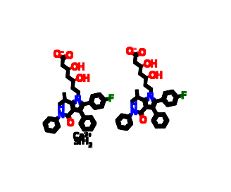 CC(C)c1c(C(=O)Nc2ccccc2)c(-c2ccccc2)c(-c2ccc(F)cc2)n1CC[C@@H](O)C[C@@H](O)CC(=O)[O-].CC(C)c1c(C(=O)Nc2ccccc2)c(-c2ccccc2)c(-c2ccc(F)cc2)n1CC[C@@H](O)C[C@@H](O)CC(=O)[O-].[Ca+2].[SrH2]